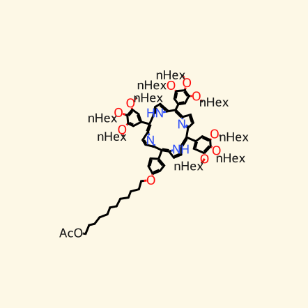 CCCCCCOc1cc(-c2c3nc(c(-c4cc(OCCCCCC)c(OCCCCCC)c(OCCCCCC)c4)c4ccc([nH]4)c(-c4cc(OCCCCCC)c(OCCCCCC)c(OCCCCCC)c4)c4nc(c(-c5ccc(OCCCCCCCCCCCCOC(C)=O)cc5)c5ccc2[nH]5)C=C4)C=C3)cc(OCCCCCC)c1OCCCCCC